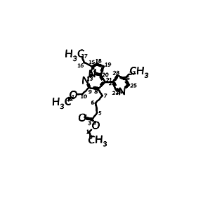 CCOC(=O)CCCc1c(COC)nn2c(CC)ccc2c1-c1cncc(C)c1